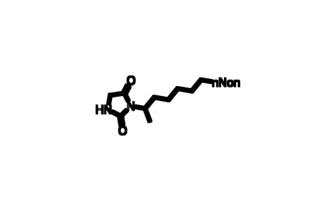 CCCCCCCCCCCCCCC(C)N1C(=O)CNC1=O